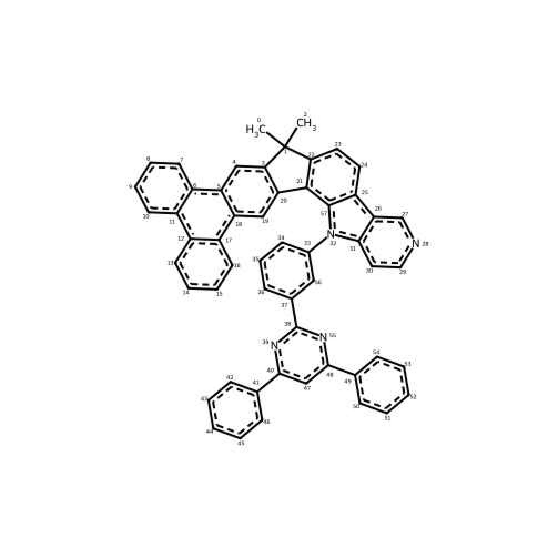 CC1(C)c2cc3c4ccccc4c4ccccc4c3cc2-c2c1ccc1c3cnccc3n(-c3cccc(-c4nc(-c5ccccc5)cc(-c5ccccc5)n4)c3)c21